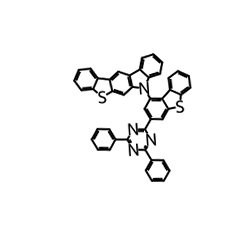 c1ccc(-c2nc(-c3ccccc3)nc(-c3cc(-n4c5ccccc5c5cc6c(cc54)sc4ccccc46)c4c(c3)sc3ccccc34)n2)cc1